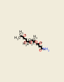 CC(C)C(=O)CCC(=O)C(C)(C)OCC(C)(C)OCC(=O)CCC(N)=O